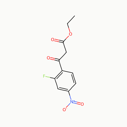 CCOC(=O)CC(=O)c1ccc([N+](=O)[O-])cc1F